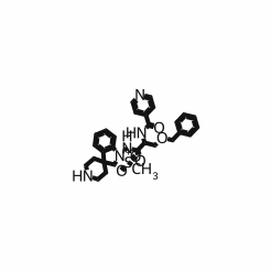 CS(=O)(=O)[N+]1(NC(=O)C(COCc2ccccc2)NC(=O)c2ccncc2)CC2(CCNCC2)c2ccccc21